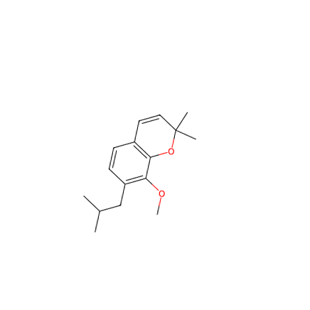 COc1c(CC(C)C)ccc2c1OC(C)(C)C=C2